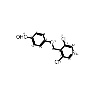 O=Cc1ccc(OCc2c(Cl)cncc2Cl)cc1